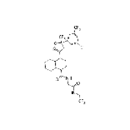 O=C(CNC(=O)C1CCC(C2=NOC(c3cc(Cl)cc(C(F)(F)F)c3)(C(F)(F)F)C2)C2CCCCC12)NCC(F)(F)F